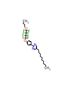 CCCCCCCCCCc1cnc(-c2ccc(OC(F)(F)C(F)(F)C(F)(F)C(F)(F)OCCCC)cc2)nc1